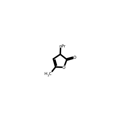 CCCC1C=C(C)OC1=O